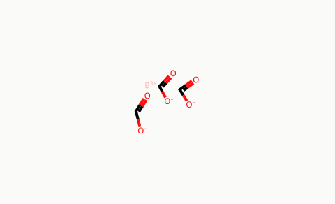 O=C[O-].O=C[O-].O=C[O-].[B+3]